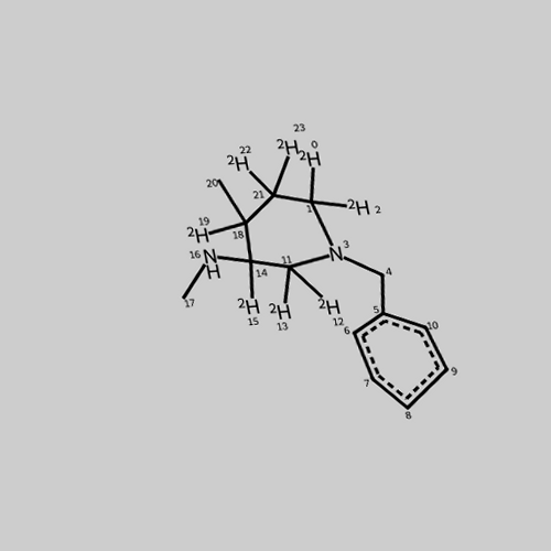 [2H]C1([2H])N(Cc2ccccc2)C([2H])([2H])C([2H])(NC)C([2H])(C)C1([2H])[2H]